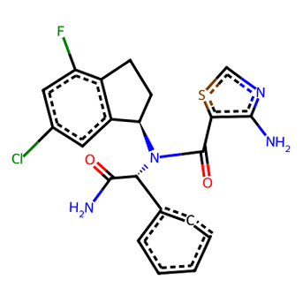 NC(=O)[C@@H](c1ccccc1)N(C(=O)c1scnc1N)[C@@H]1CCc2c(F)cc(Cl)cc21